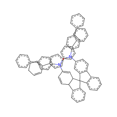 C1=CC(c2ccc(N(c3ccc(-c4ccccc4)cc3)c3ccc4c(c3)C3(c5ccccc5-4)c4ccccc4C4C=CC(N(c5ccc(-c6ccccc6)cc5)c5ccc(-c6ccccc6)cc5)=CC43)cc2)=CCC1